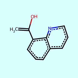 C=C(O)c1cccc2cccnc12